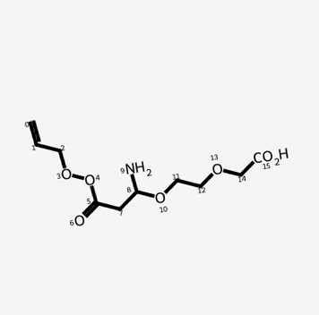 C=CCOOC(=O)CC(N)OCCOCC(=O)O